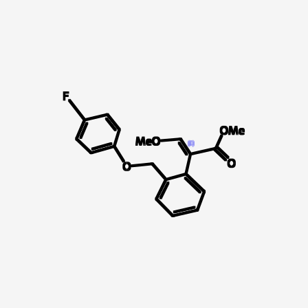 CO/C=C(/C(=O)OC)c1ccccc1COc1ccc(F)cc1